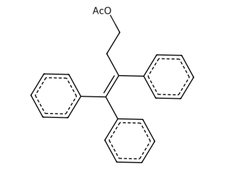 CC(=O)OCCC(=C(c1ccccc1)c1ccccc1)c1ccccc1